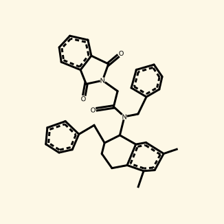 Cc1cc(C)c2c(c1)C(N(Cc1ccccc1)C(=O)CN1C(=O)c3ccccc3C1=O)C(Cc1ccccc1)CC2